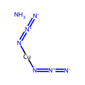 N.[N-]=[N+]=[N][Cu][N]=[N+]=[N-]